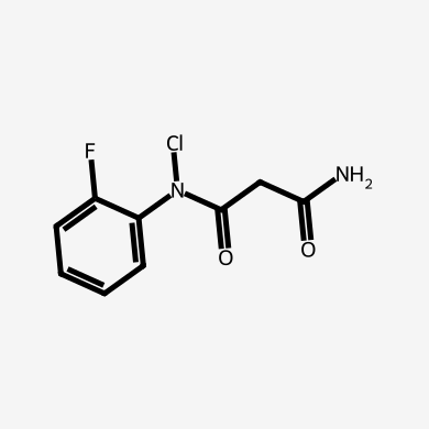 NC(=O)CC(=O)N(Cl)c1ccccc1F